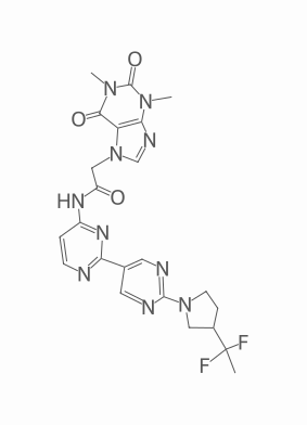 Cn1c(=O)c2c(ncn2CC(=O)Nc2ccnc(-c3cnc(N4CCC(C(C)(F)F)C4)nc3)n2)n(C)c1=O